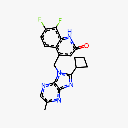 Cc1cnc2c(n1)nc(C1CCC1)n2Cc1cc(=O)[nH]c2c(F)c(F)ccc12